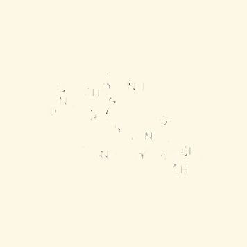 Cc1c([N+](=O)[O-])cc(-c2ccnc3cc(CN4C(=O)C5C(C4=O)C5(C)C)sc23)n1C[C@@H]1CNCCO1